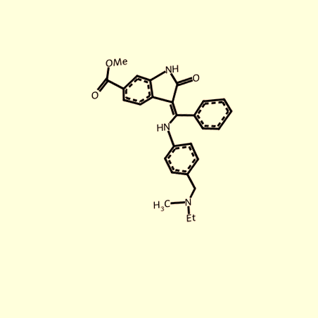 CCN(C)Cc1ccc(NC(=C2C(=O)Nc3cc(C(=O)OC)ccc32)c2ccccc2)cc1